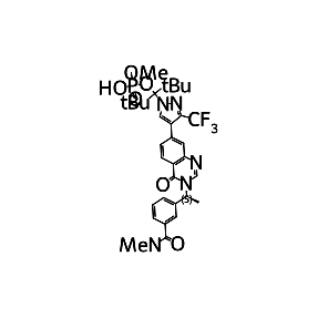 CNC(=O)c1cccc([C@H](C)n2cnc3cc(-c4cn(C(OP(=O)(O)OC)(C(C)(C)C)C(C)(C)C)nc4C(F)(F)F)ccc3c2=O)c1